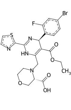 CCOC(=O)C1=C(CN2CCOC[C@H]2C(=O)O)NC(c2nccs2)=N[C@H]1c1ccc(Br)cc1F